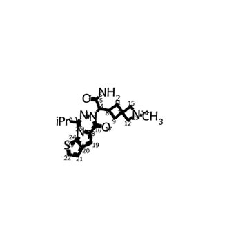 CC(C)c1nn(C(C(N)=O)C2CC3(C2)CN(C)C3)c(=O)c2cc3ccsc3n12